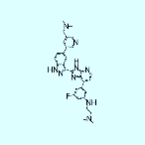 CN(C)CCNc1cc(F)cc(-c2ccnc3[nH]c(-c4n[nH]c5ccc(-c6cncc(CN(C)C)c6)cc45)nc23)c1